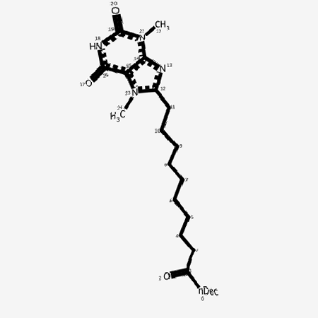 CCCCCCCCCCC(=O)CCCCCCCCCc1nc2c(c(=O)[nH]c(=O)n2C)n1C